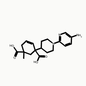 CC1(C(=O)O)CC=CC(C(=O)O)(C2CCN(c3ccc(N)cn3)CC2)C1